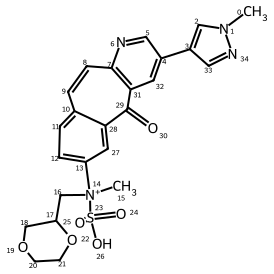 Cn1cc(-c2cnc3ccc4ccc([N+](C)(CC5COCCO5)S(=O)(=O)O)cc4c(=O)c3c2)cn1